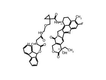 CC[C@@]1(O)C(=O)OCc2c1cc1n(c2=O)Cc2c-1nc1cc(F)c(C)c3c1c2[C@@H](NC(=O)C1(COCNC(=O)CN(C)C(=O)OC2c4ccccc4-c4ccccc42)CC1)CC3